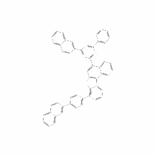 c1ccc(-c2nc(-c3ccc4ccccc4c3)nc(-c3cc4sc5c(-c6ccc(-c7ccc8ccccc8c7)cc6)cccc5c4c4ccccc34)n2)cc1